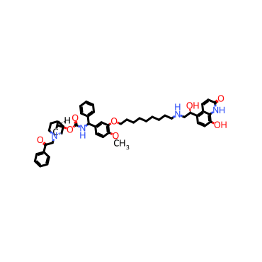 COc1ccc(C(NC(=O)O[C@H]2C[N+]3(CC(=O)c4ccccc4)CCC2CC3)c2ccccc2)cc1OCCCCCCCCCNC[C@@H](O)c1ccc(O)c2[nH]c(=O)ccc12